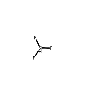 F[SiH](F)F